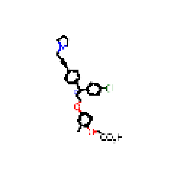 Cc1cc(OC/C=C(\c2ccc(Cl)cc2)c2ccc(C#CCN3CCCC3)cc2)ccc1OCC(=O)O